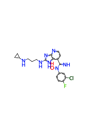 N=C(c1ccnc2nc(NCCCNC3CC3)[nH]c12)N(O)c1ccc(F)c(Cl)c1